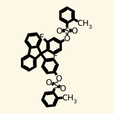 Cc1ccccc1S(=O)(=O)Oc1ccc(C2(c3ccc(OS(=O)(=O)c4ccccc4C)cc3F)c3ccccc3-c3ccccc32)c(F)c1